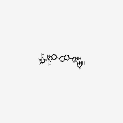 C[C@H]1CN[C@H](c2nc(-c3ccc4cc(-c5ccc6nc([C@@H]7C[C@@H](C)[C@@H](C)N7)[nH]c6c5)ccc4c3)c[nH]2)C1